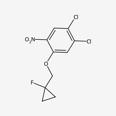 O=[N+]([O-])c1cc(Cl)c(Cl)cc1OCC1(F)CC1